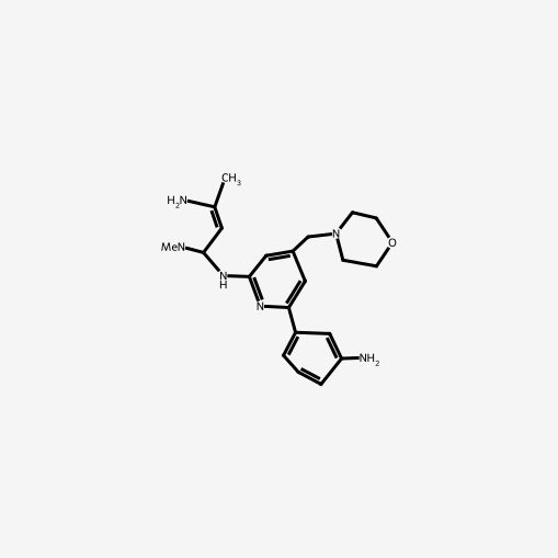 CNC(/C=C(/C)N)Nc1cc(CN2CCOCC2)cc(-c2cccc(N)c2)n1